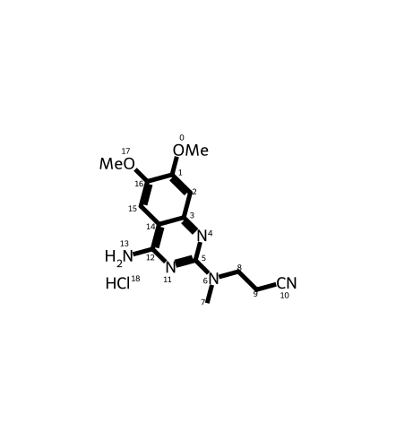 COc1cc2nc(N(C)CCC#N)nc(N)c2cc1OC.Cl